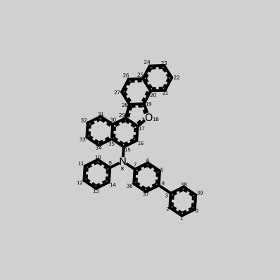 c1ccc(-c2ccc(N(c3ccccc3)c3cc4oc5c6ccccc6ccc5c4c4ccccc34)cc2)cc1